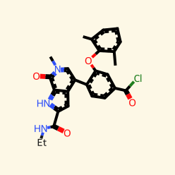 CCNC(=O)c1cc2c(-c3ccc(C(=O)Cl)cc3Oc3c(C)cccc3C)cn(C)c(=O)c2[nH]1